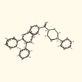 O=C(c1ccc2nc(-c3ccccc3)c(-c3ccccc3)nc2c1)N1CCN(c2ccccc2)CC1